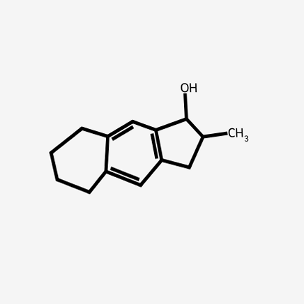 CC1Cc2cc3c(cc2C1O)CCCC3